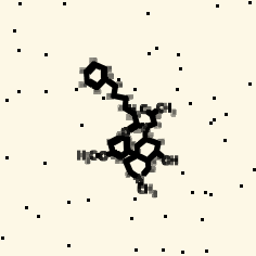 COc1cccc(C23CCN(C)CC2C(O)CC(N(CC(C)C)C(=O)CCCCCc2ccccc2)C3)c1